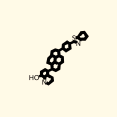 Oc1ccc(-c2ccc3ccc4c(-c5ccc(-c6nc7ccccc7s6)cc5)ccc5ccc2c3c54)c2cccnc12